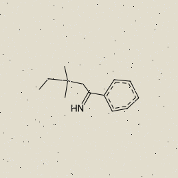 CCC(C)(C)CC(=N)c1ccccc1